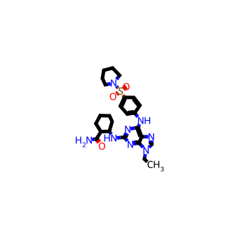 CCn1cnc2c(Nc3ccc(S(=O)(=O)N4CCCCC4)cc3)nc(NC3CCCCC3C(N)=O)nc21